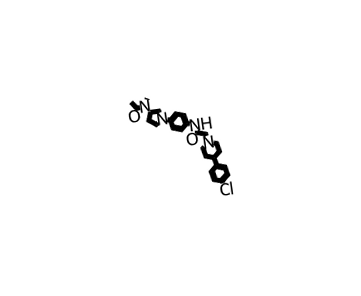 CC(=O)N(C)C1CCN(c2ccc(NC(=O)CN3CCC(c4ccc(Cl)cc4)CC3)cc2)C1